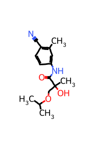 Cc1cc(NC(=O)C(C)(O)COC(C)C)ccc1C#N